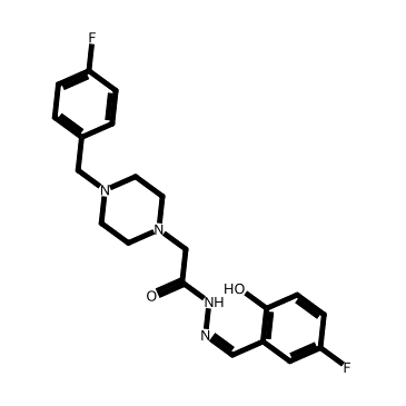 O=C(CN1CCN(Cc2ccc(F)cc2)CC1)N/N=C\c1cc(F)ccc1O